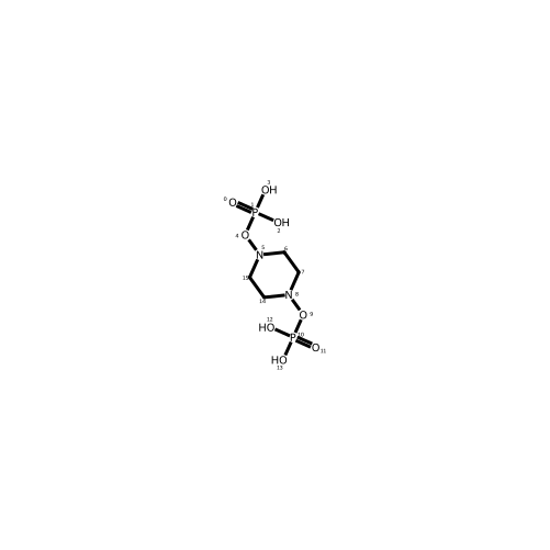 O=P(O)(O)ON1CCN(OP(=O)(O)O)CC1